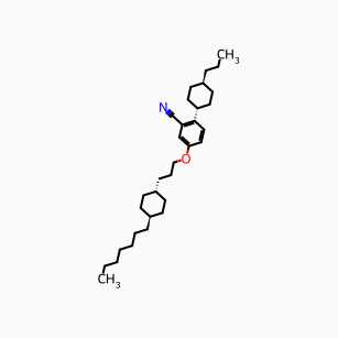 CCCCCCC[C@H]1CC[C@H](CCCOc2ccc([C@H]3CC[C@H](CCC)CC3)c(C#N)c2)CC1